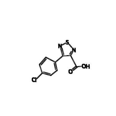 O=C(O)c1nsnc1-c1ccc(Cl)cc1